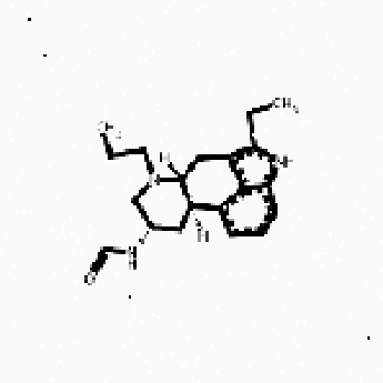 CCCN1C[C@@H](NC=O)C[C@@H]2c3cccc4[nH]c(CC)c(c34)C[C@H]21